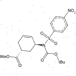 COC(=O)[C@@H]1CC=C[C@@H](N(C(=O)OC(C)(C)C)S(=O)(=O)c2ccc([N+](=O)[O-])cc2)C1